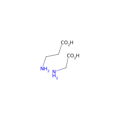 NCC(=O)O.NCCC(=O)O